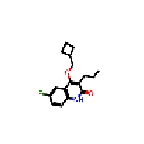 CCCc1c(OCC2CCC2)c2cc(F)ccc2[nH]c1=O